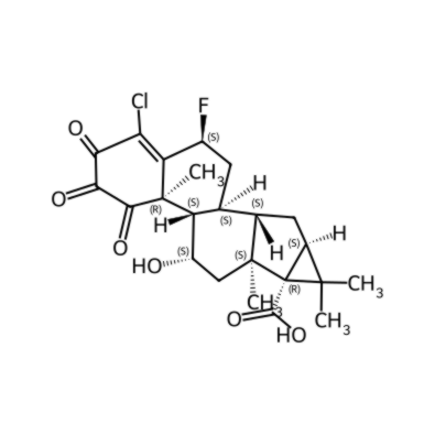 CC1(C)[C@@H]2C[C@H]3[C@@H]4C[C@H](F)C5=C(Cl)C(=O)C(=O)C(=O)[C@]5(C)[C@H]4[C@@H](O)C[C@]3(C)[C@@]21C(=O)O